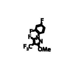 COc1nn(-c2ccc(F)cc2F)c(F)c1C(F)(F)F